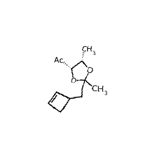 CC(=O)[C@H]1OC(C)(CC2C=CC2)O[C@H]1C